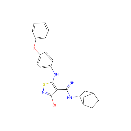 N=C(N[C@@H]1CC2CCC1C2)c1c(O)nsc1Nc1ccc(Oc2ccccc2)cc1